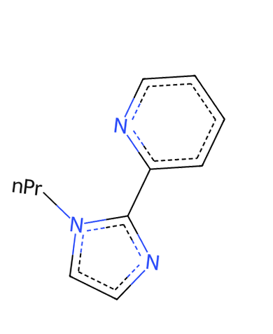 CCCn1ccnc1-c1ccccn1